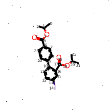 CC(C)OC(=O)c1ccc(-c2ccc(I)cc2C(=O)OC(C)C)cc1